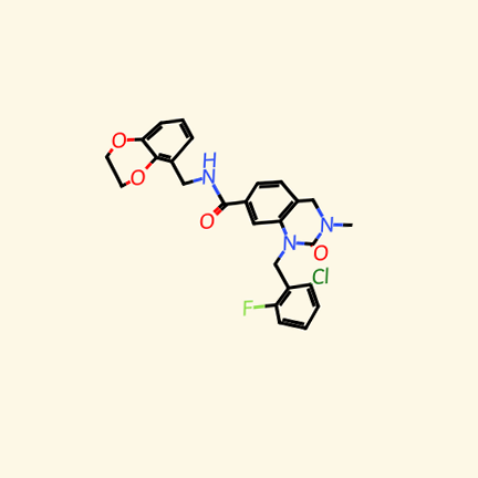 CN1Cc2ccc(C(=O)NCc3cccc4c3OCCO4)cc2N(Cc2c(F)cccc2Cl)C1=O